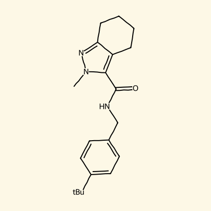 Cn1nc2c(c1C(=O)NCc1ccc(C(C)(C)C)cc1)CCCC2